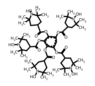 CC1(C)CC(C(=O)Oc2cc(OC(=O)C3CC(C)(C)N(O)C(C)(C)C3)c(OC(=O)C3CC(C)(C)N(O)C(C)(C)C3)c(OC(=O)C3CC(C)(C)N(O)C(C)(C)C3)c2OC(=O)C2CC(C)(C)N(O)C(C)(C)C2)CC(C)(C)N1O